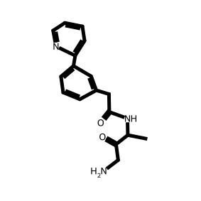 CC(NC(=O)Cc1cccc(-c2ccccn2)c1)C(=O)CN